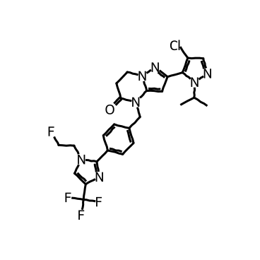 CC(C)n1ncc(Cl)c1-c1cc2n(n1)CCC(=O)N2Cc1ccc(-c2nc(C(F)(F)F)cn2CCF)cc1